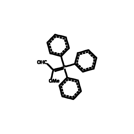 COC(C=O)=P(c1ccccc1)(c1ccccc1)c1ccccc1